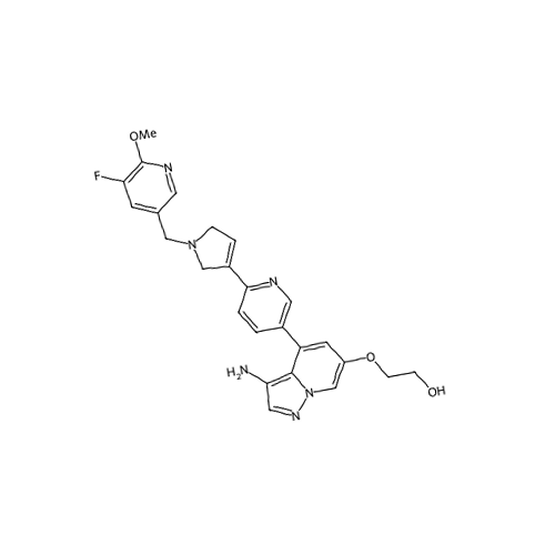 COc1ncc(CN2CC=C(c3ccc(-c4cc(OCCO)cn5ncc(N)c45)cn3)C2)cc1F